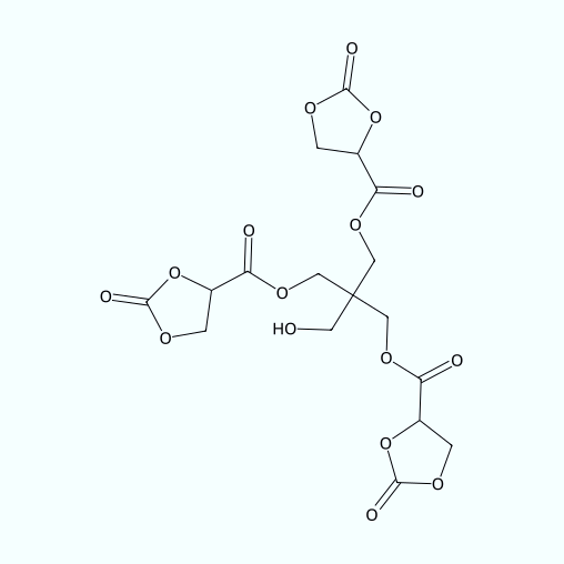 O=C1OCC(C(=O)OCC(CO)(COC(=O)C2COC(=O)O2)COC(=O)C2COC(=O)O2)O1